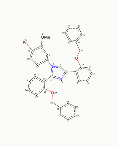 COc1cc(-n2cc(-c3ccccc3OCc3ccccc3)nc2-c2ccccc2OCc2ccccc2)ccc1Br